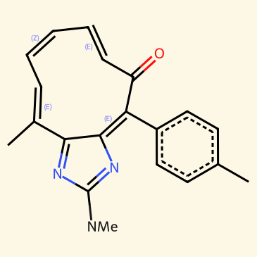 CNC1=N/C2=C(\c3ccc(C)cc3)C(=O)/C=C/C=C\C=C(/C)C2=N1